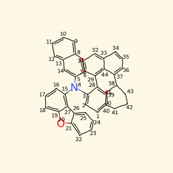 c1ccc(N(c2ccc3ccccc3c2)c2cccc3oc4ccccc4c23)c(-c2cccc3cccc(C4CCCCC4)c23)c1